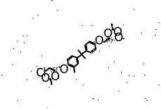 COC[C@H](COc1ccc(C(C)(C)c2ccc(OC[C@@H](CCl)OC(C)=O)c(C)c2)cc1)OC(C)=O